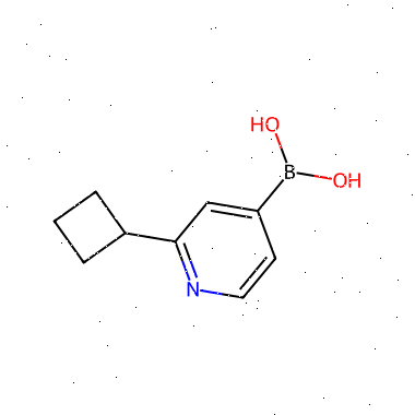 OB(O)c1ccnc(C2CCC2)c1